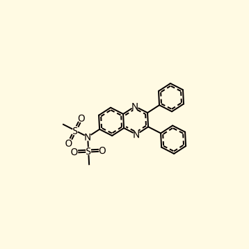 CS(=O)(=O)N(c1ccc2nc(-c3ccccc3)c(-c3ccccc3)nc2c1)S(C)(=O)=O